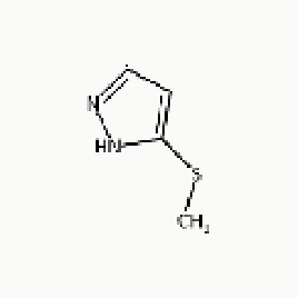 CSc1c[c]n[nH]1